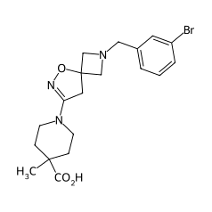 CC1(C(=O)O)CCN(C2=NOC3(C2)CN(Cc2cccc(Br)c2)C3)CC1